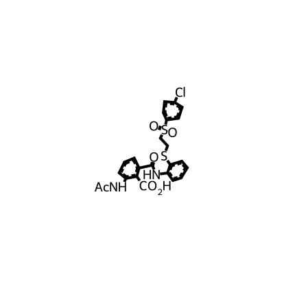 CC(=O)Nc1cccc(C(=O)Nc2ccccc2SCCS(=O)(=O)c2ccc(Cl)cc2)c1C(=O)O